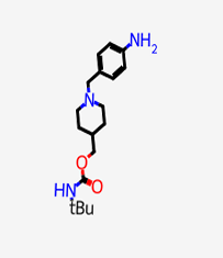 CC(C)(C)NC(=O)OCC1CCN(Cc2ccc(N)cc2)CC1